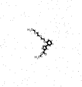 CCOCCOCCOc1ccccc1-c1cc(C(=O)OCC)no1